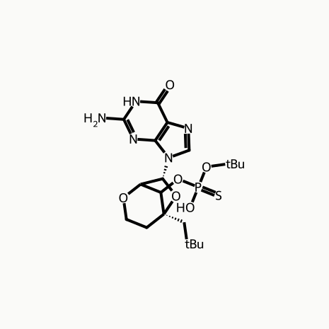 CC(C)(C)C[C@]12CCOC(C1OP(O)(=S)OC(C)(C)C)[C@H](n1cnc3c(=O)[nH]c(N)nc31)O2